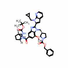 COc1cc(C(=O)N2C[C@H]3CC[C@@H]2[C@@H]3NC(=O)OC(C)(C)C)cc2nc(-c3cc4cccnc4n3CC3CC3)n(C[C@H]3CCN(C(=O)OCc4ccccc4)C3)c12